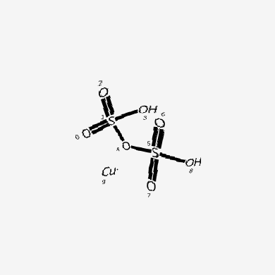 O=S(=O)(O)OS(=O)(=O)O.[Cu]